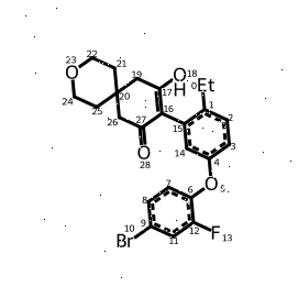 CCc1ccc(Oc2ccc(Br)cc2F)cc1C1=C(O)CC2(CCOCC2)CC1=O